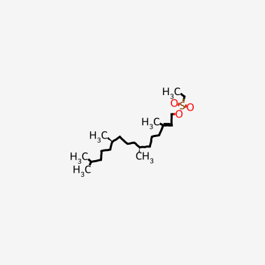 CCS(=O)(=O)OC/C=C(\C)CCC[C@H](C)CCC[C@H](C)CCCC(C)C